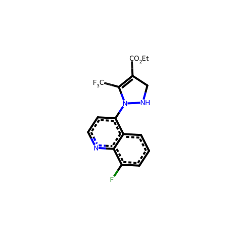 CCOC(=O)C1=C(C(F)(F)F)N(c2ccnc3c(F)cccc23)NC1